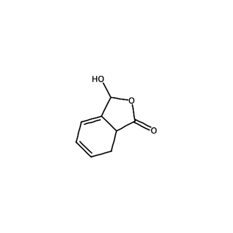 O=C1OC(O)C2=CC=CCC12